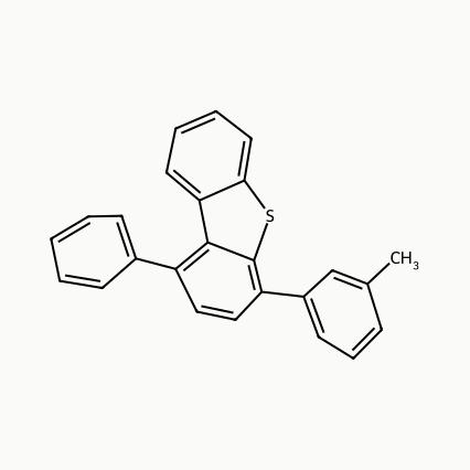 Cc1cccc(-c2ccc(-c3ccccc3)c3c2sc2ccccc23)c1